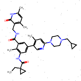 CCC1(C(=O)Nc2cc(-c3cnc(N4CCN(CC5CC5)CC4)cc3C)cc(C(=O)NCc3c(C)cc(C)[nH]c3=O)c2C)CC1